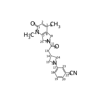 Cc1cc(=O)n(C)c2c1CN(C(=O)CC1CN(c3cccc(C#N)c3)C1)C2